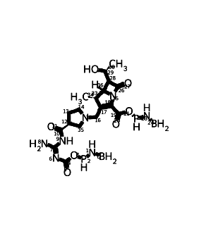 BNPOC(=O)/N=C(/N)NC(=O)[C@H]1CCN(CC2=C(C(=O)OPNB)N3C(=O)C([C@@H](C)O)[C@H]3[C@H]2C)C1